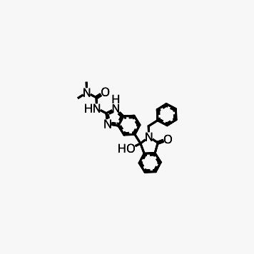 CN(C)C(=O)Nc1nc2cc(C3(O)c4ccccc4C(=O)N3Cc3ccccc3)ccc2[nH]1